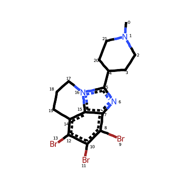 CN1CCC(c2nc3c(Br)c(Br)c(Br)c4c3n2CCC4)CC1